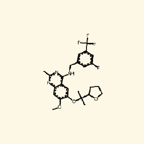 COc1cc2nc(C)nc(NCc3cc(F)cc(C(F)(F)F)c3)c2cc1OC(C)(C)C1CCCO1